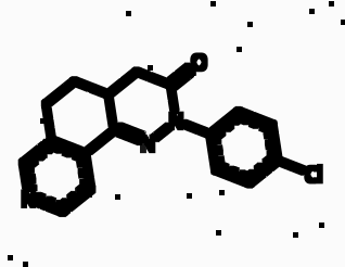 O=C1CC2CCc3cnccc3C2=NN1c1ccc(Cl)cc1